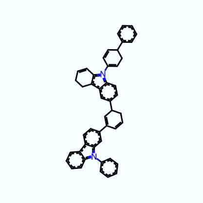 C1=Cc2c(c3cc(C4C=C(c5ccc6c7ccccc7n(-c7ccccc7)c6c5)C=CC4)ccc3n2C2=CCC(c3ccccc3)C=C2)CC1